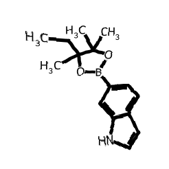 CCC1(C)OB(c2ccc3cc[nH]c3c2)OC1(C)C